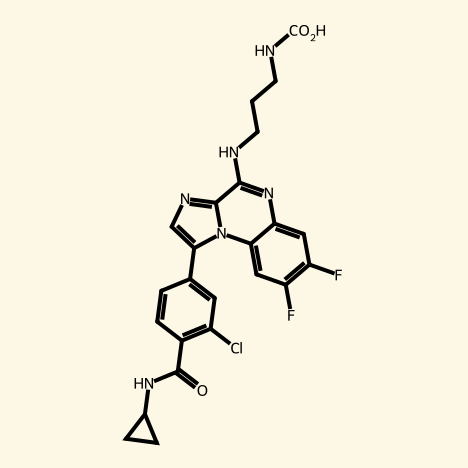 O=C(O)NCCCNc1nc2cc(F)c(F)cc2n2c(-c3ccc(C(=O)NC4CC4)c(Cl)c3)cnc12